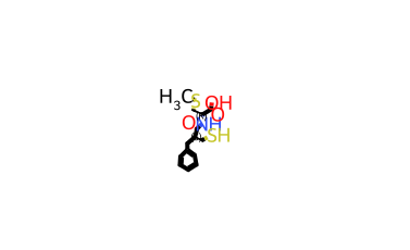 CSC[C@H](NC(=O)[C@@H](CS)Cc1ccccc1)C(=O)O